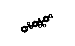 COc1ccc(-c2c(C)c3ccc(OC(=O)N4CCCCC4)cc3oc2=O)cc1